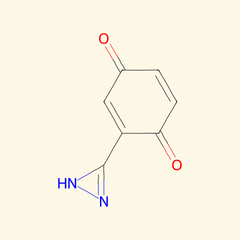 O=C1C=CC(=O)C(C2=NN2)=C1